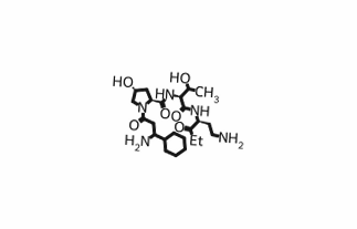 CCC(=O)[C@H](CCN)NC(=O)[C@@H](NC(=O)[C@@H]1C[C@@H](O)CN1C(=O)CC(N)C1CCCCC1)C(C)O